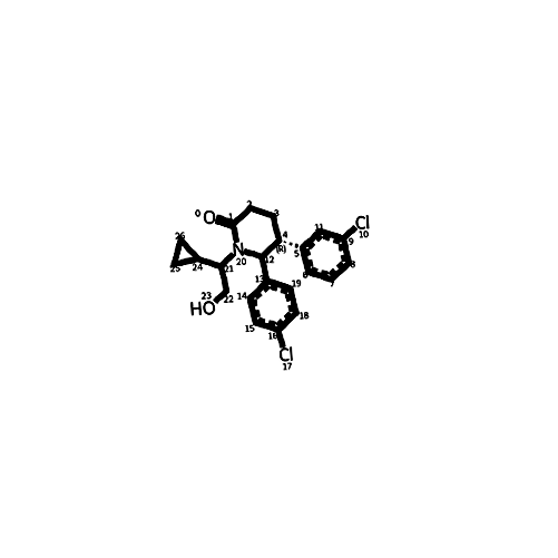 O=C1CC[C@H](c2cccc(Cl)c2)C(c2ccc(Cl)cc2)N1C(CO)C1CC1